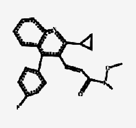 CON(C)C(=O)C=Cc1c(C2CC2)nc2ccccc2c1-c1ccc(F)cc1